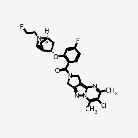 Cc1nc2c3c(nn2c(C)c1Cl)CN(C(=O)c1ccc(F)cc1O[C@H]1C[C@H]2CC1=CN2CCF)C3